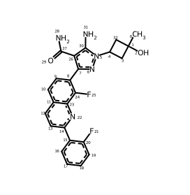 CC1(O)CC(n2nc(-c3ccc4ccc(-c5ccccc5F)nc4c3F)c(C(N)=O)c2N)C1